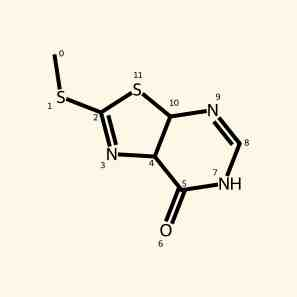 CSC1=NC2C(=O)NC=NC2S1